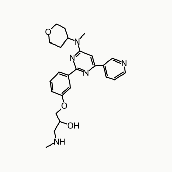 CNCC(O)COc1cccc(-c2nc(-c3cccnc3)cc(N(C)C3CCOCC3)n2)c1